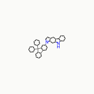 c1ccc(C2(c3ccccc3)c3ccccc3-c3ccc(-n4ccc5cc6c(cc54)[nH]c4ccccc46)cc32)cc1